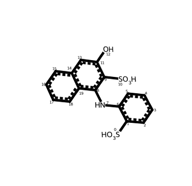 O=S(=O)(O)c1ccccc1Nc1c(S(=O)(=O)O)c(O)cc2ccccc12